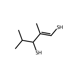 C/C(=C\S)C(S)C(C)C